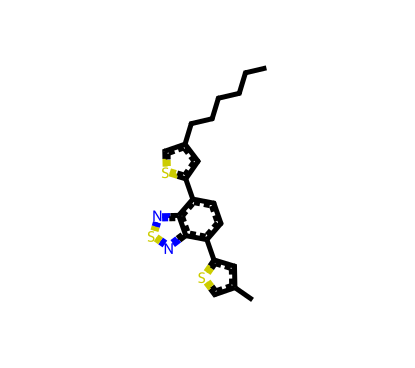 CCCCCCc1csc(-c2ccc(-c3cc(C)cs3)c3nsnc23)c1